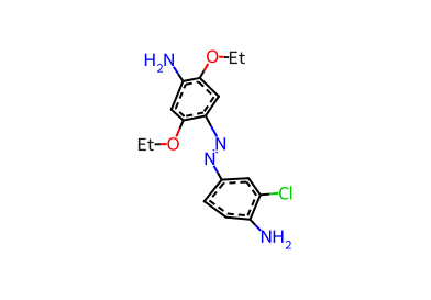 CCOc1cc(N=Nc2ccc(N)c(Cl)c2)c(OCC)cc1N